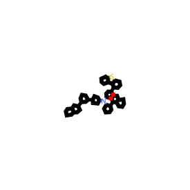 c1cc(-c2ccc(N(c3ccc(-c4cccc5sc6ccccc6c45)cc3)c3ccccc3-c3cccc4ccccc34)cc2)cc(-c2ccc3ccccc3c2)c1